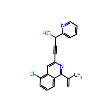 C=C(c1nc(C#CC(O)c2ccccn2)cc2c(Cl)cccc12)C(F)(F)F